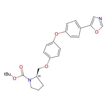 CC(C)(C)OC(=O)N1CCC[C@@H]1COc1ccc(Oc2ccc(-c3cnco3)cc2)cc1